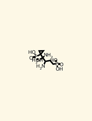 NC(CCP(=O)(O)O)C(N)(N)C1(P(=O)(O)O)CC1